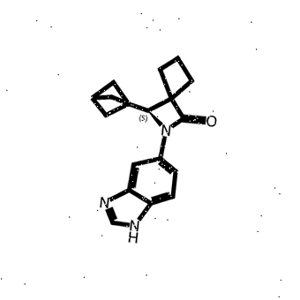 O=C1N(c2ccc3[nH]cnc3c2)[C@@H](C23CC(C2)C3)C12CCC2